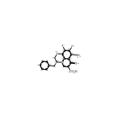 CCOC(=O)c1cn2c3c(c(F)c(F)c(N)c3c1=O)OC[C@@H]2Cc1ccccc1